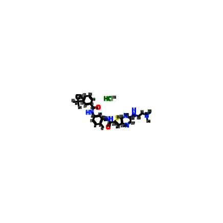 Cc1ccc(NC(=O)c2cccc(C(C)(C)C#N)c2)cc1NC(=O)c1cc2ncc(NCCN(C)C)nc2s1.Cl